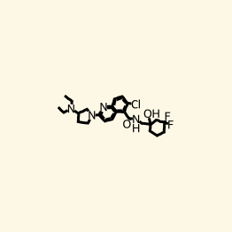 CCN(CC)C1CCN(c2ccc3c(C(=O)NCC4(O)CCCC(F)(F)C4)c(Cl)ccc3n2)C1